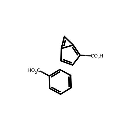 O=C(O)c1ccc2cc1-2.O=C(O)c1ccccc1